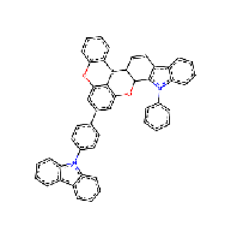 C1=CC2B3c4ccccc4Oc4cc(-c5ccc(-n6c7ccccc7c7ccccc76)cc5)cc(c43)OC2c2c1c1ccccc1n2-c1ccccc1